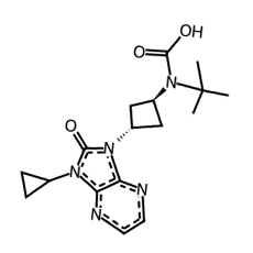 CC(C)(C)N(C(=O)O)[C@H]1C[C@H](n2c(=O)n(C3CC3)c3nccnc32)C1